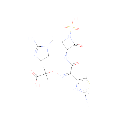 CC(C)(ON=C(C(=O)N[C@@H]1C(=O)N(S(=O)(=O)O)[C@H]1CN1CCN=C1N)c1csc(N)n1)C(=O)O